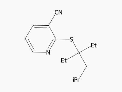 CCC(CC)(CC(C)C)Sc1ncccc1C#N